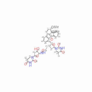 COc1cccc(C(OC[C@H]2O[C@@H](n3cc(C)c(=O)[nH]c3=O)C[C@@H]2CCONC2OC(n3cc(C)c(=O)[nH]c3=O)CC2O)(c2ccccc2)c2ccccc2)c1OC